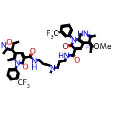 CO/C(C)=C(\C(C)=N)c1cc(C(=O)NCCCN(C)CCCNC(=O)c2cc(C3C(C)=NOC3C)c(C)n(-c3cccc(C(F)(F)F)c3)c2=O)c(=O)n(-c2cccc(C(F)(F)F)c2)c1C